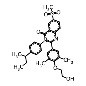 CCC(C)c1ccc(-n2c(-c3cc(C)c(OCCO)c(C)c3)nc3ccc(S(C)(=O)=O)cc3c2=O)cc1